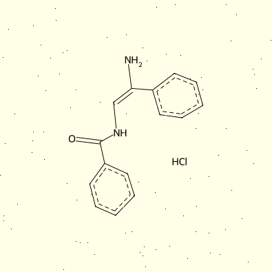 Cl.N/C(=C/NC(=O)c1ccccc1)c1ccccc1